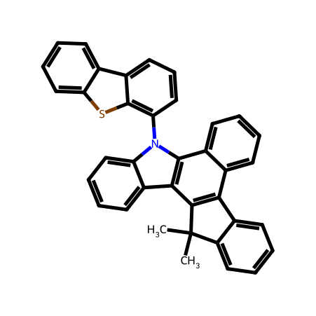 CC1(C)c2ccccc2-c2c1c1c3ccccc3n(-c3cccc4c3sc3ccccc34)c1c1ccccc21